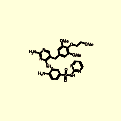 COCCOc1c(OC)cc(Cc2cnc(N)nc2N)cc1OC.Nc1ccc(S(=O)(=O)Nc2ncccn2)cc1